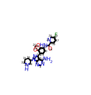 Nc1ncnc2c1c(-c1ccc(NC(=O)c3ccc(F)cn3)c3c1OCO3)nn2[C@@H]1CCCNC1